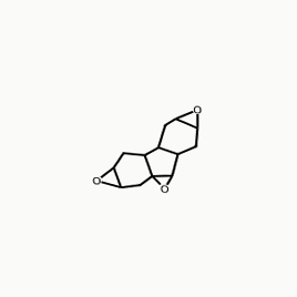 C1C2OC2CC2C1C1CC3OC3CC13OC23